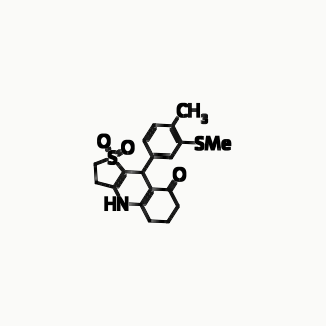 CSc1cc(C2C3=C(CCCC3=O)NC3=C2S(=O)(=O)CC3)ccc1C